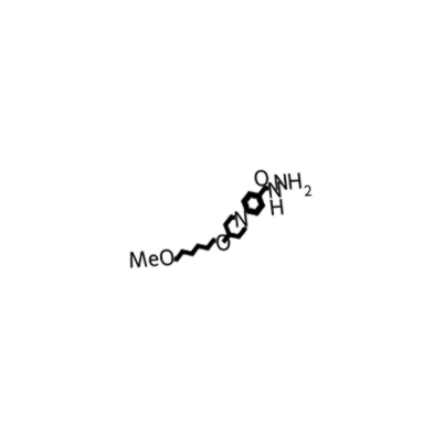 COCCCCCCOC1CCN(c2ccc(C(=O)NN)cc2)CC1